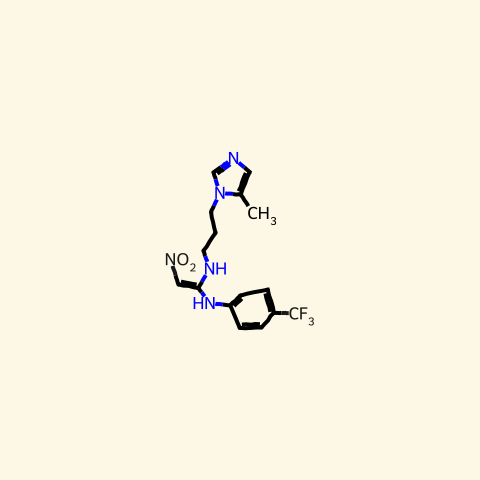 Cc1cncn1CCCNC(=C[N+](=O)[O-])Nc1ccc(C(F)(F)F)cc1